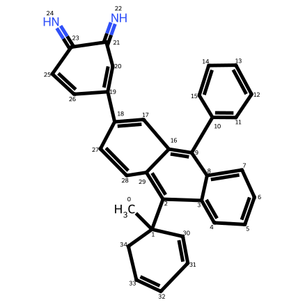 CC1(c2c3ccccc3c(-c3ccccc3)c3cc(C4=CC(=N)C(=N)C=C4)ccc23)C=CC=CC1